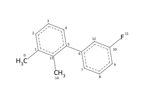 Cc1cccc(-c2cccc(F)c2)c1C